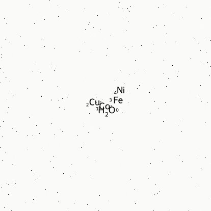 O.[Co].[Cu].[Fe].[Ni]